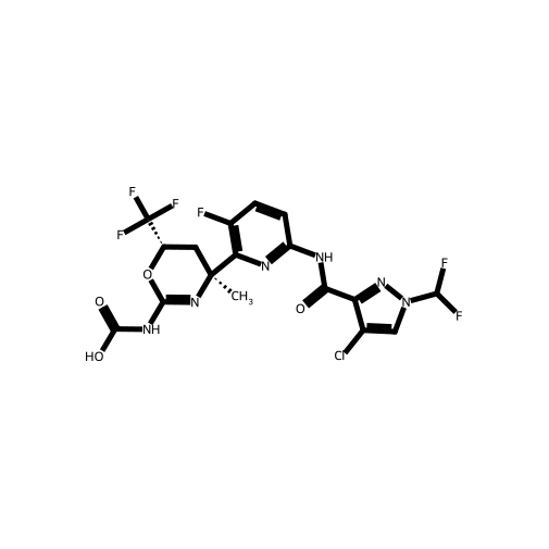 C[C@@]1(c2nc(NC(=O)c3nn(C(F)F)cc3Cl)ccc2F)C[C@@H](C(F)(F)F)OC(NC(=O)O)=N1